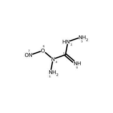 N=C(NN)N(N)ON=O